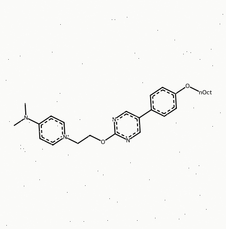 CCCCCCCCOc1ccc(-c2cnc(OCC[n+]3ccc(N(C)C)cc3)nc2)cc1